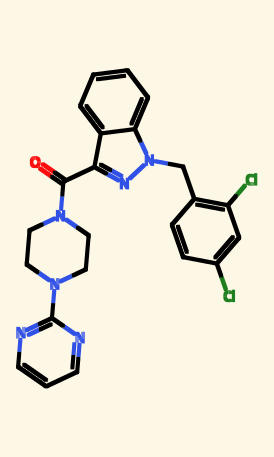 O=C(c1nn(Cc2ccc(Cl)cc2Cl)c2ccccc12)N1CCN(c2ncccn2)CC1